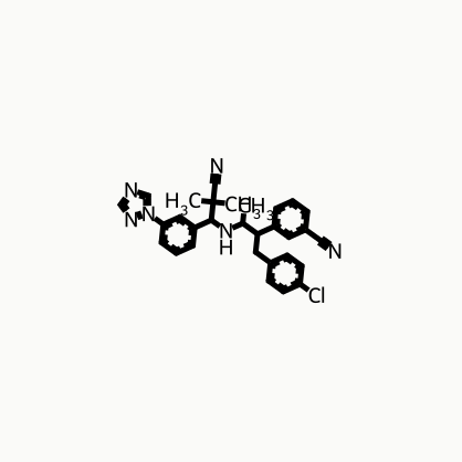 CC(NC(c1cccc(-n2cncn2)c1)C(C)(C)C#N)C(Cc1ccc(Cl)cc1)c1cccc(C#N)c1